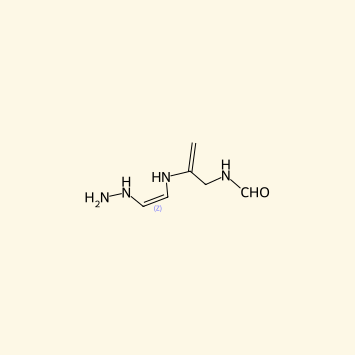 C=C(CNC=O)N/C=C\NN